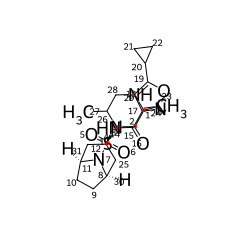 CC1CN(S(=O)(=O)N2[C@@H]3CC[C@H]2C[C@@H](NC(=O)c2cc(C4CC4)on2)C3)C(C)CN1